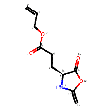 C=CCOC(=O)CC[C@@H]1NC(=C)OC1=O